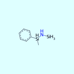 C[SiH](N[SiH3])c1ccccc1